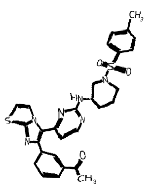 CC(=O)c1cccc(-c2nc3sccn3c2-c2ccnc(N[C@@H]3CCCN(S(=O)(=O)c4ccc(C)cc4)C3)n2)c1